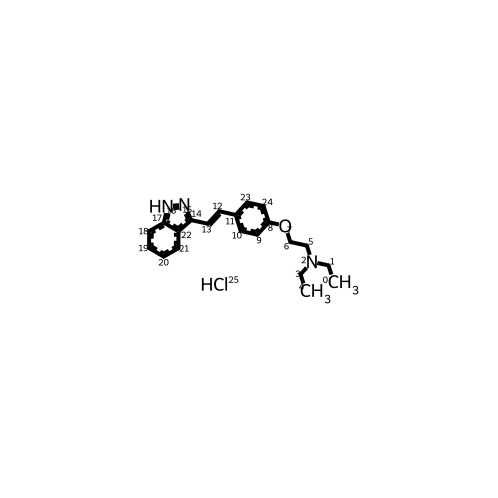 CCN(CC)CCOc1ccc(/C=C/c2n[nH]c3ccccc23)cc1.Cl